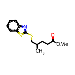 COC(=O)CCC(C)CSc1nc2ccccc2s1